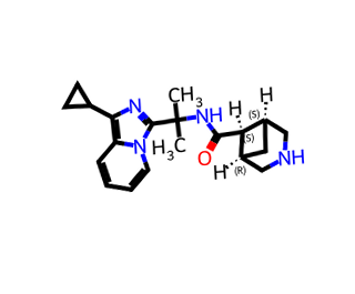 CC(C)(NC(=O)[C@@H]1[C@@H]2CNC[C@H]1C2)c1nc(C2CC2)c2ccccn12